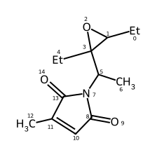 CCC1OC1(CC)C(C)N1C(=O)C=C(C)C1=O